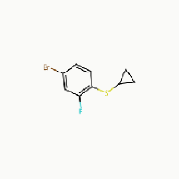 Fc1cc(Br)ccc1SC1CC1